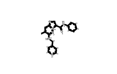 Cc1cc2ncc(C(=O)Nc3ccccc3)n2nc1NCc1ccncc1